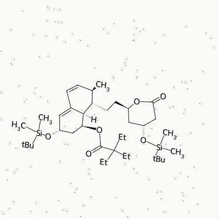 CCC(CC)(CC)C(=O)O[C@H]1C[C@H](O[Si](C)(C)C(C)(C)C)C=C2C=C[C@@H](C)[C@H](CC[C@@H]3C[C@@H](O[Si](C)(C)C(C)(C)C)CC(=O)O3)[C@H]21